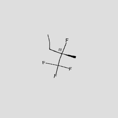 CC[C@](C)(F)C(F)(F)F